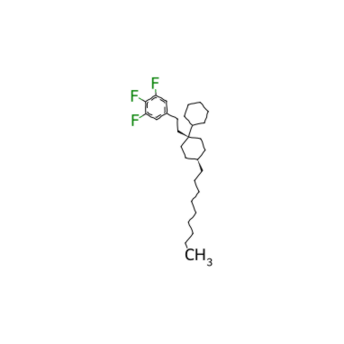 CCCCCCCCC[C@H]1CC[C@](CCc2cc(F)c(F)c(F)c2)(C2CCCCC2)CC1